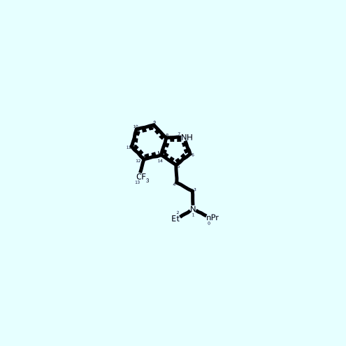 CCCN(CC)CCc1c[nH]c2cccc(C(F)(F)F)c12